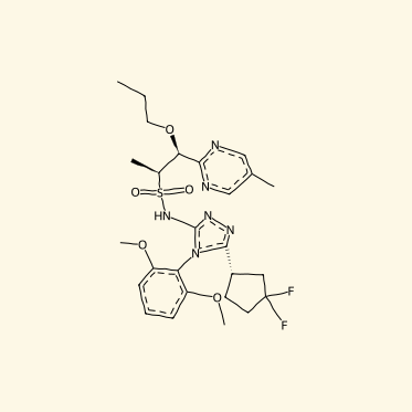 CCCO[C@@H](c1ncc(C)cn1)[C@H](C)S(=O)(=O)Nc1nnc([C@H]2CCC(F)(F)C2)n1-c1c(OC)cccc1OC